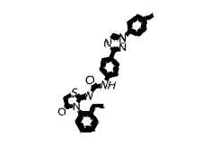 CCc1ccccc1N1C(=O)CS/C1=N\C(=O)Nc1ccc(-c2ncn(-c3ccc(C)cc3)n2)cc1